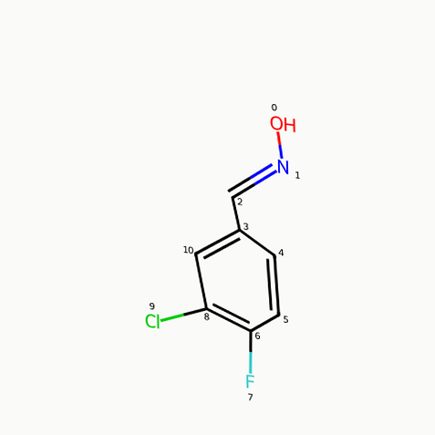 O/N=C/c1ccc(F)c(Cl)c1